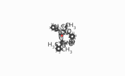 Cc1cccc(C)c1-c1cc2nc(n1)NS(=O)(=O)c1cccc(c1)C(=O)N1C[C@@H](CN(C3CC4(CCCC4)C3)C[C@H]1CC(C)C)O2